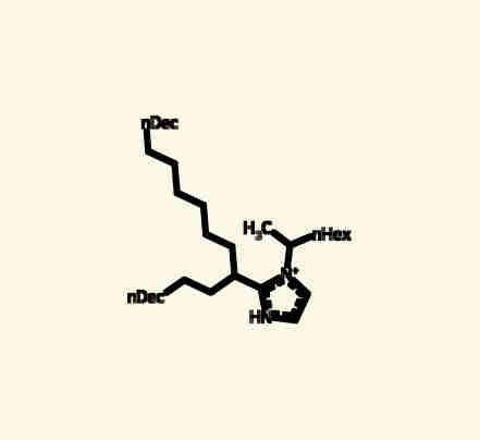 CCCCCCCCCCCCCCCCC(CCCCCCCCCCCC)c1[nH]cc[n+]1C(C)CCCCCC